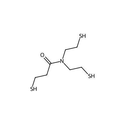 O=C(CCS)N(CCS)CCS